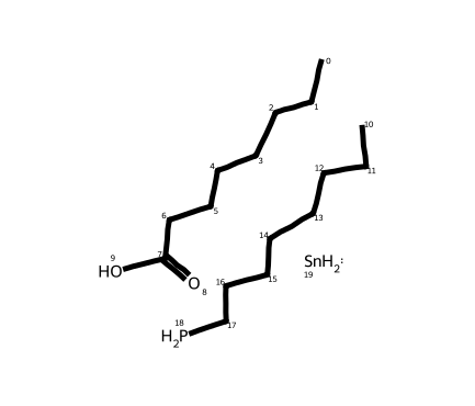 CCCCCCCC(=O)O.CCCCCCCCP.[SnH2]